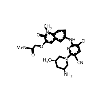 CNC(=O)COc1cc2cc(Nc3nc(N4C[C@H](C)C[C@H](N)C4)c(C#N)cc3Cl)ccc2n(C)c1=O